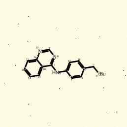 CC(C)(C)Cc1ccc(Nc2ncnc3ccccc23)cc1